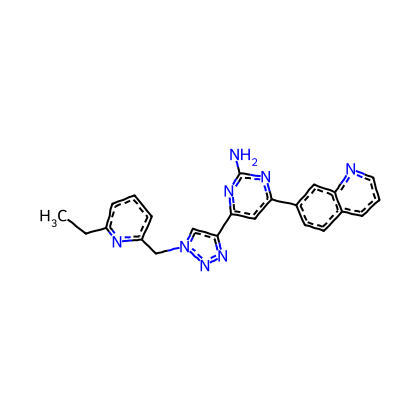 CCc1cccc(Cn2cc(-c3cc(-c4ccc5cccnc5c4)nc(N)n3)nn2)n1